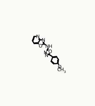 COc1ccc(-c2nnc(Nc3nc4ncccc4o3)o2)cc1